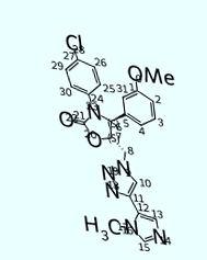 COc1cccc([C@H]2[C@H](Cn3cc(-c4cncn4C)nn3)OC(=O)N2c2ccc(Cl)cc2)c1